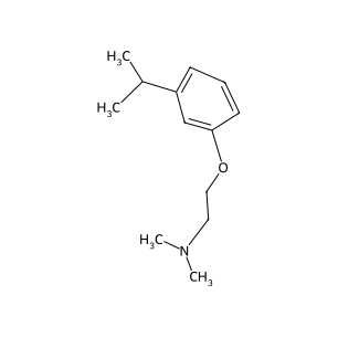 CC(C)c1cccc(OCCN(C)C)c1